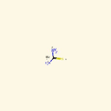 NC(N)=S.[Mo]